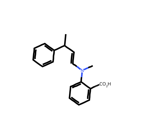 CC(C=CN(C)c1ccccc1C(=O)O)c1ccccc1